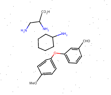 COc1ccc(Oc2cccc(C=O)c2)cc1.NC1CCCCC1.NCC(N)C(=O)O